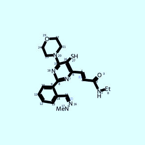 CCNC(=O)/C=C/c1nc(-c2ccccc2/C=N\NC)nc(N2CCOCC2)c1S